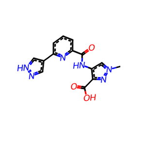 Cn1cc(NC(=O)c2cccc(-c3cn[nH]c3)n2)c(C(=O)O)n1